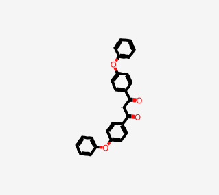 O=C([CH]C(=O)c1ccc(Oc2ccccc2)cc1)c1ccc(Oc2ccccc2)cc1